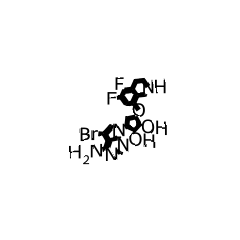 Nc1ncnc2c1c(Br)cn2C1CC(Oc2cc(F)c(F)c3c2CNCC3)[C@@H](O)[C@H]1O